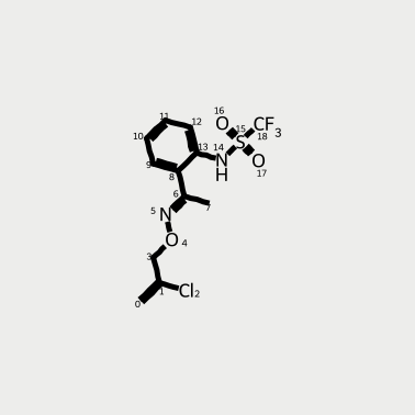 C=C(Cl)CO/N=C(\C)c1ccccc1NS(=O)(=O)C(F)(F)F